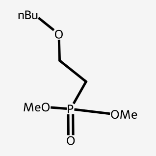 CCCCOCCP(=O)(OC)OC